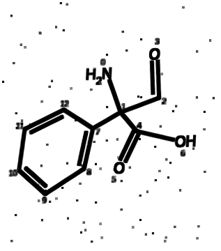 NC(C=O)(C(=O)O)c1ccccc1